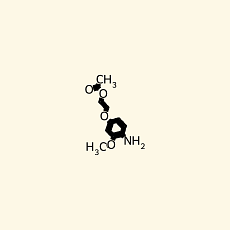 COc1cc(OCCOC(C)=O)ccc1N